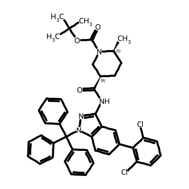 C[C@H]1CC[C@@H](C(=O)Nc2nn(C(c3ccccc3)(c3ccccc3)c3ccccc3)c3ccc(-c4c(Cl)cccc4Cl)cc23)CN1C(=O)OC(C)(C)C